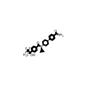 C[C@](O)(c1ccc(C(=O)N(C2CC2)[C@H]2CC[C@H](c3ccc(C(N)=O)cc3)CC2)cc1)C(F)(F)F